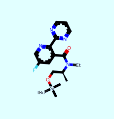 CCN(C(=O)c1cc(F)cnc1-c1ncccn1)[C@@H](C)CO[Si](C)(C)C(C)(C)C